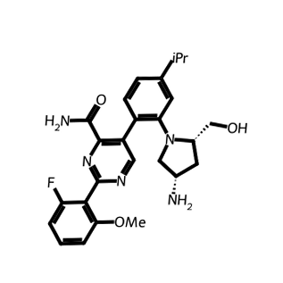 COc1cccc(F)c1-c1ncc(-c2ccc(C(C)C)cc2N2C[C@@H](N)C[C@H]2CO)c(C(N)=O)n1